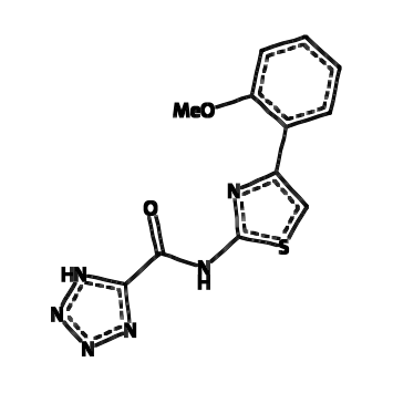 COc1ccccc1-c1csc(NC(=O)c2nnn[nH]2)n1